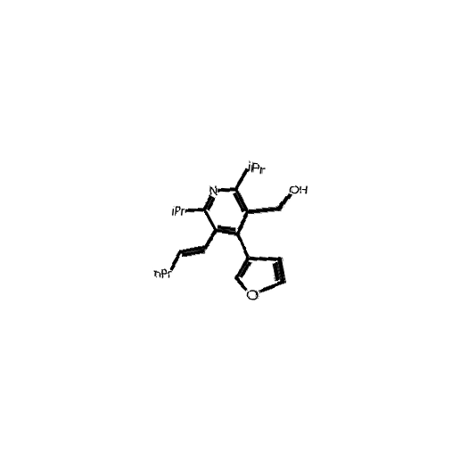 CCC/C=C/c1c(C(C)C)nc(C(C)C)c(CO)c1-c1ccoc1